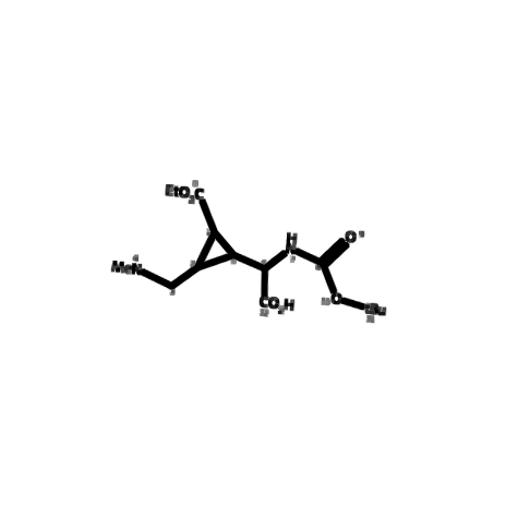 CCOC(=O)C1C(CNC)C1C(NC(=O)OC(C)(C)C)C(=O)O